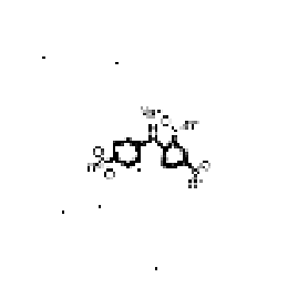 O=[N+]([O-])c1ccc(Nc2ccc(S(=O)(=O)[O-])cc2)c([N+](=O)[O-])c1.[Na+]